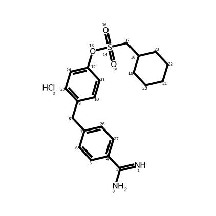 Cl.N=C(N)c1ccc(Cc2ccc(OS(=O)(=O)CC3CCCCC3)cc2)cc1